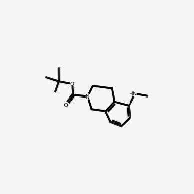 CNc1cccc2c1CCN(C(=O)OC(C)(C)C)C2